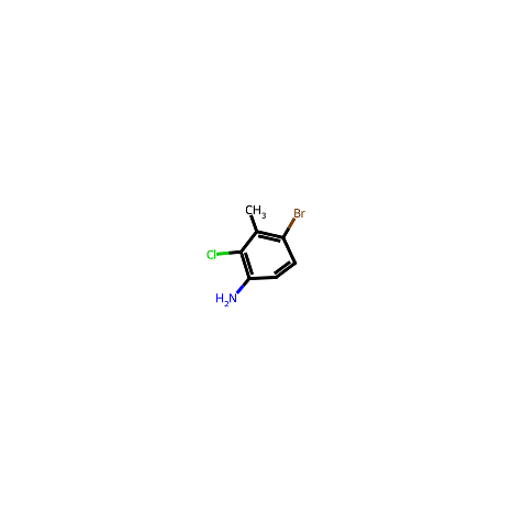 Cc1c(Br)ccc(N)c1Cl